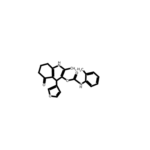 CC1=C(OC(=O)Nc2ccccc2C)C(c2ccoc2)C2=C(CCCC2=O)N1